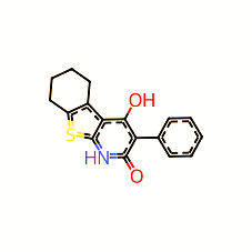 O=c1[nH]c2sc3c(c2c(O)c1-c1ccccc1)CCCC3